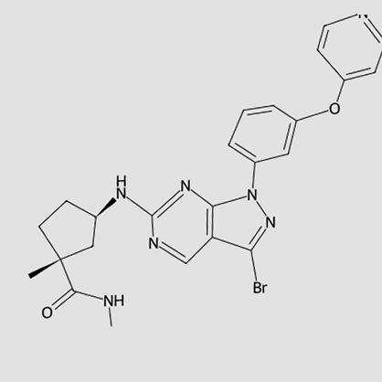 CNC(=O)[C@]1(C)CC[C@@H](Nc2ncc3c(Br)nn(-c4cccc(Oc5ccncc5)c4)c3n2)C1